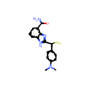 CN(C)c1ccc(C(S)c2nc3c(C(N)=O)cccc3[nH]2)cc1